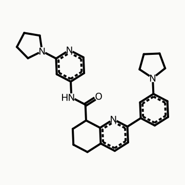 O=C(Nc1ccnc(N2CCCC2)c1)C1CCCc2ccc(-c3cccc(N4CCCC4)c3)nc21